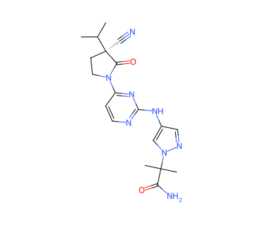 CC(C)[C@]1(C#N)CCN(c2ccnc(Nc3cnn(C(C)(C)C(N)=O)c3)n2)C1=O